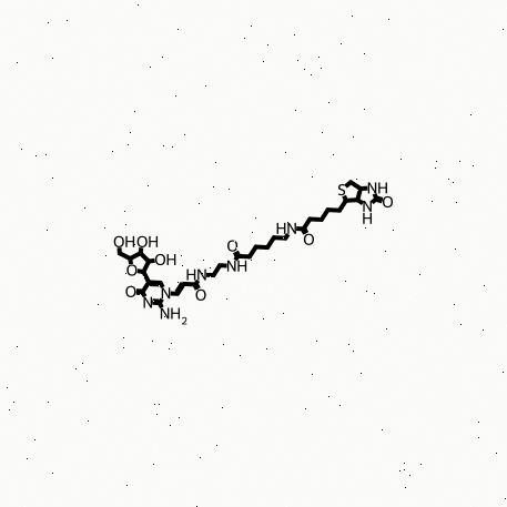 Nc1nc(=O)c(C2OC(CO)C(O)C2O)cn1/C=C/C(=O)NCCNC(=O)CCCCCNC(=O)CCCCC1SCC2NC(=O)NC21